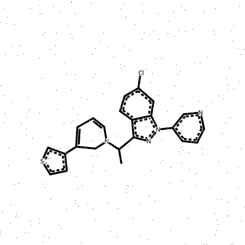 CC(c1nn(-c2cccnc2)c2cc(Cl)ccc12)N1C=CC=C(c2ccsc2)C1